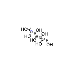 O/C=C(\O)[C@H](O)[C@@H](O)[C@H](O)[C@H](O)CO